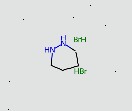 Br.Br.C1CCNNC1